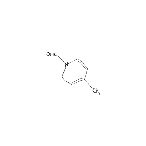 O=CN1C=CC(C(F)(F)F)=CC1